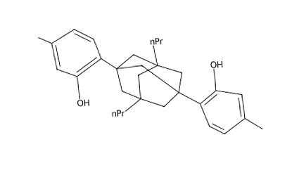 CCCC12CC3(CCC)CC(c4ccc(C)cc4O)(C1)CC(c1ccc(C)cc1O)(C2)C3